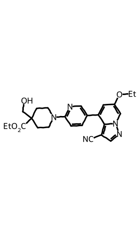 CCOC(=O)C1(CO)CCN(c2ccc(-c3cc(OCC)cn4ncc(C#N)c34)cn2)CC1